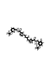 O=C(NCc1cccc(OC(F)(F)F)n1)c1cn(CCC(F)Cn2cc(C(=O)NCc3cc(OC(F)(F)F)ccc3F)nn2)nn1